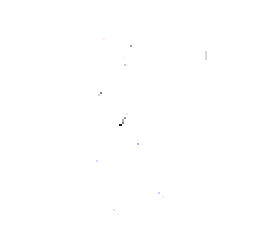 CCC1=C[C@@H](c2cnc3c(N)nccn23)[C@@H]2OC(C)(C)O[C@H]12